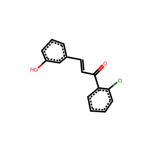 O=C(/C=C/c1cccc(O)c1)c1ccccc1Cl